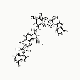 Cc1ncnc2c1ccn2C1CC(Oc2cc(Cl)c(Cl)cc2CNC2CC(N)c3c(OC4CC(n5ccc6c(C)ncnc65)[C@H](O)[C@@H]4O)cccc32)[C@@H](O)[C@H]1O